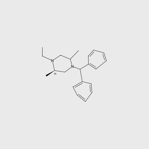 CCN1CC(C)N(C(c2ccccc2)c2ccccc2)C[C@H]1C